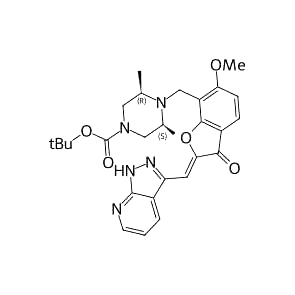 COc1ccc2c(c1CN1[C@H](C)CN(C(=O)OC(C)(C)C)C[C@@H]1C)OC(=Cc1n[nH]c3ncccc13)C2=O